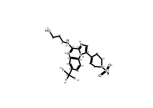 CS(=O)(=O)N1CC=C(c2cnc3c(NCCCO)nc4cc(C(F)(F)F)ccc4n23)CC1